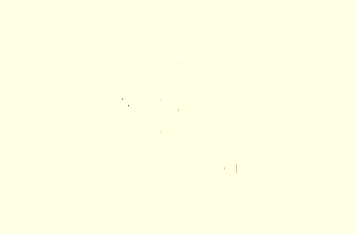 O=C(OC1(c2ccccc2)CCNCC1)C1CCC(O)CC1